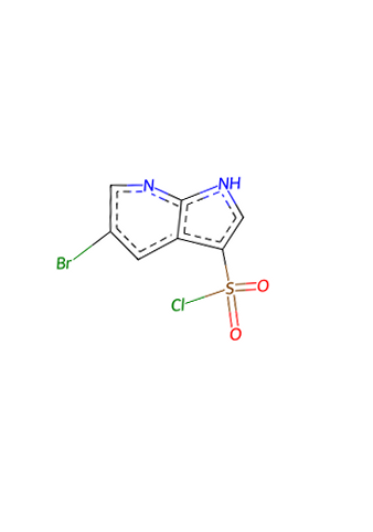 O=S(=O)(Cl)c1c[nH]c2ncc(Br)cc12